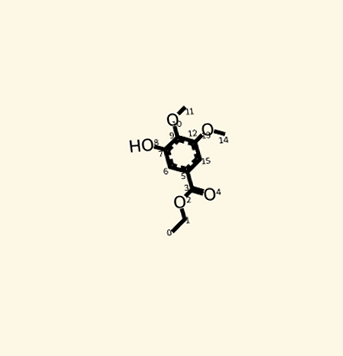 CCOC(=O)c1cc(O)c(OC)c(OC)c1